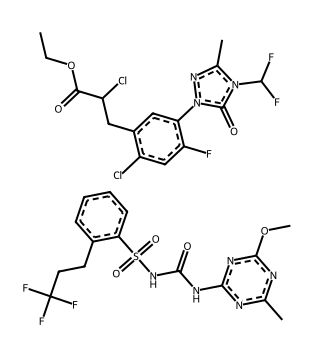 CCOC(=O)C(Cl)Cc1cc(-n2nc(C)n(C(F)F)c2=O)c(F)cc1Cl.COc1nc(C)nc(NC(=O)NS(=O)(=O)c2ccccc2CCC(F)(F)F)n1